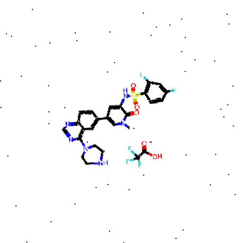 Cn1cc(-c2ccc3ncnc(N4CCNCC4)c3c2)cc(NS(=O)(=O)c2ccc(F)cc2F)c1=O.O=C(O)C(F)(F)F